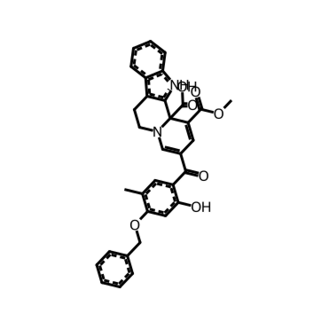 COC(=O)C1=CC(C(=O)c2cc(C)c(OCc3ccccc3)cc2O)=CN2CCc3c([nH]c4ccccc34)C12C(=O)O